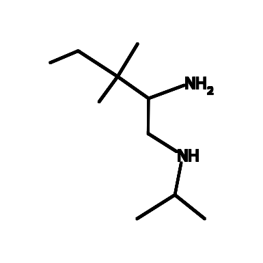 CCC(C)(C)C(N)CNC(C)C